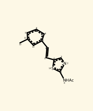 CC(=O)Nc1ncc(C=Cc2cccc(C)c2)s1